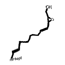 CCCCCCCCCCCCCC=CC1OC1CO